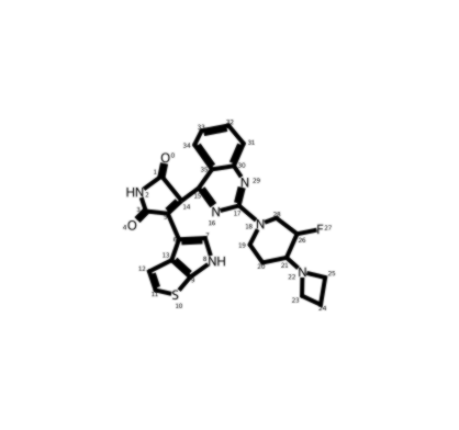 O=C1NC(=O)C(c2c[nH]c3sccc23)=C1c1nc(N2CCC(N3CCC3)C(F)C2)nc2ccccc12